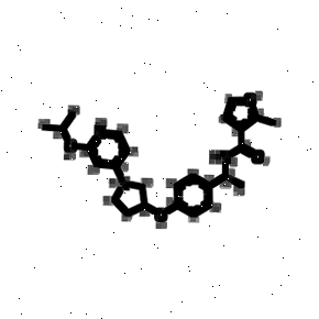 Cc1occc1C(=O)N[C@@H](C)c1ccc(OC2CCN(c3ccnc(OC(C)C)c3)C2)cc1